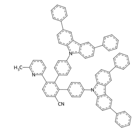 Cc1cccc(-c2ccc(C#N)c(-c3ccc(-n4c5ccc(-c6ccccc6)cc5c5cc(-c6ccccc6)ccc54)cc3)c2-c2ccc(-n3c4ccc(-c5ccccc5)cc4c4cc(-c5ccccc5)ccc43)cc2)n1